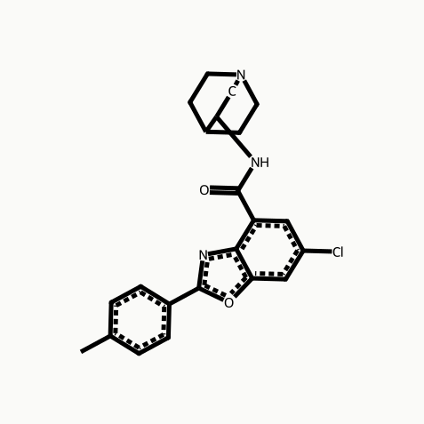 Cc1ccc(-c2nc3c(C(=O)NC4CN5CCC4CC5)cc(Cl)cc3o2)cc1